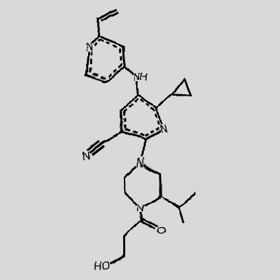 C=Cc1cc(Nc2cc(C#N)c(N3CCN(C(=O)CCO)[C@H](C(C)C)C3)nc2C2CC2)ccn1